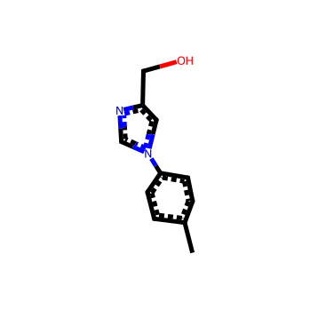 Cc1ccc(-n2cnc(CO)c2)cc1